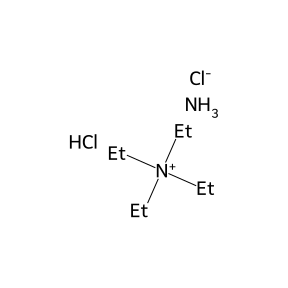 CC[N+](CC)(CC)CC.Cl.N.[Cl-]